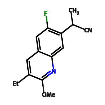 CCc1cc2cc(F)c(C(C)C#N)cc2nc1OC